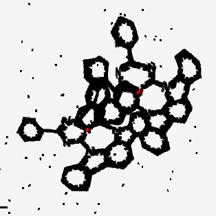 c1ccc(-c2nc(-c3ccccc3)nc(-n3c4ccccc4c4ccc5c6ccccc6n(-c6ccc(-c7ccccc7-c7cccc(-n8c9ccccc9c9ccc%10c%11ccccc%11n(-c%11nc(-c%12ccccc%12)nc(-c%12ccccc%12)n%11)c%10c98)c7)cc6)c5c43)n2)cc1